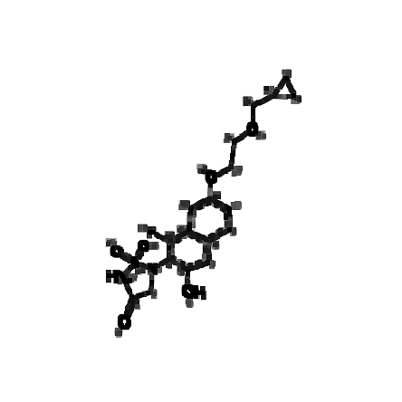 O=C1CN(c2c(O)cc3ccc(OCCOCC4CC4)cc3c2F)S(=O)(=O)N1